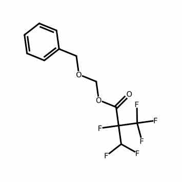 O=C(OCOCc1ccccc1)C(F)(C(F)F)C(F)(F)F